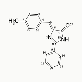 Cc1ccc(/C=C2\N=C(c3ccccc3)NC2=O)cc1